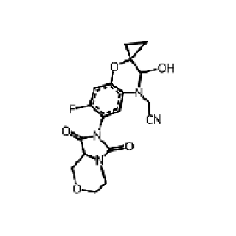 N#CCN1c2cc(N3C(=O)C4COCCN4C3=O)c(F)cc2OC2(CC2)C1O